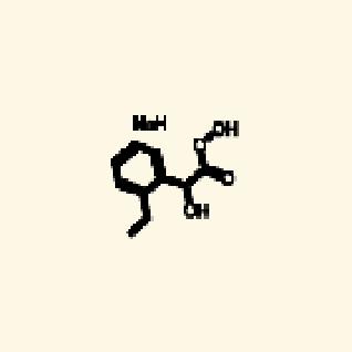 CCc1ccccc1C(O)C(=O)OO.[NaH]